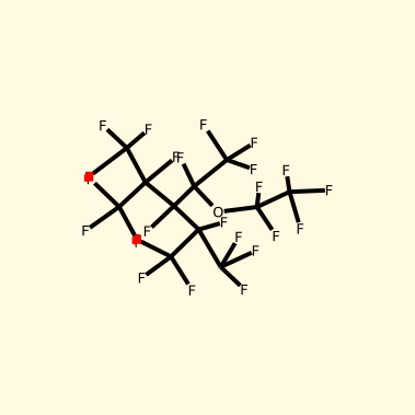 FC(F)(F)C(F)(F)OC(F)(C(F)(F)F)C(F)(C(F)(C(F)(F)F)C(F)(F)F)C(F)(C(F)(F)F)C(F)(F)F